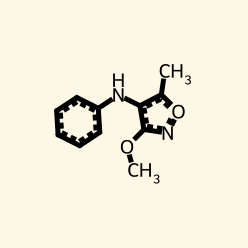 COc1noc(C)c1Nc1ccccc1